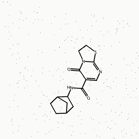 O=C(NC1CC2CCC1C2)c1cnc2n(c1=O)CCS2